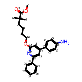 COC(=O)C(C)(C)CCCCOc1cc(-c2ccc(N)cc2)cc(-c2ccccc2)n1